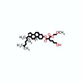 COCCOC(=O)C(CCCCO)C(=O)OC1CC[C@@]2(C)C(=CCC3C2CC[C@@]2(C)C3CC[C@@H]2[C@H](C)CCCC(C)C)C1